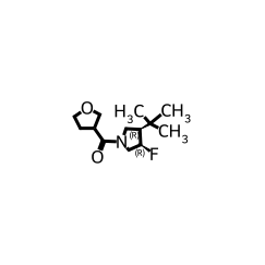 CC(C)(C)[C@@H]1CN(C(=O)C2CCOC2)C[C@@H]1F